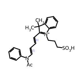 CC(=O)N(/C=C/C=C/C1=[N+](CCCS(=O)(=O)O)c2ccccc2C1(C)C)c1ccccc1